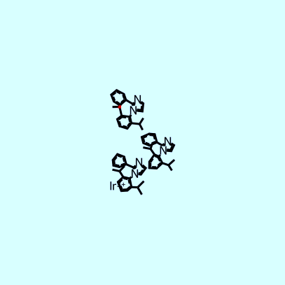 CC(C)c1cccc(C(C)C)c1-n1ccnc1-c1ccccc1.CC(C)c1cccc(C(C)C)c1-n1ccnc1-c1ccccc1.CC(C)c1cccc(C(C)C)c1-n1ccnc1-c1ccccc1.[Ir+3]